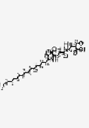 CCCCCCCCCCCCCCCC(=O)N[C@@H](CCC(=O)NCCC([C]=O)C(=O)O)C(=O)O